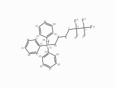 FC(F)(F)C(F)(F)CCCC[PH](c1ccccc1)(c1ccccc1)c1ccccc1